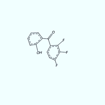 O=C(c1ccccc1O)c1ccc(F)c(F)c1F